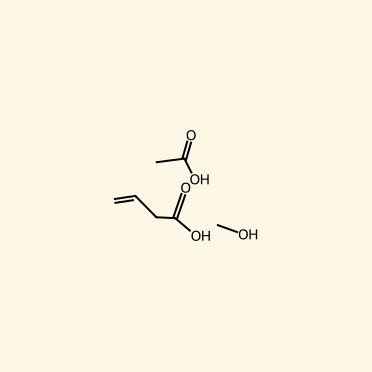 C=CCC(=O)O.CC(=O)O.CO